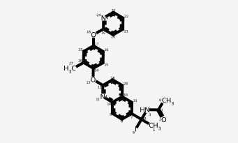 CC(=O)NC(C)(I)c1ccc2nc(Oc3ccc(Oc4ccccn4)cc3C)ccc2c1